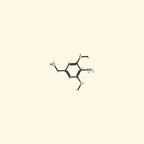 COc1cc(CO)cc(OC)c1N